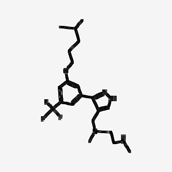 CNCCN(C)Cc1c[nH]nc1-c1cc(OCCCC(C)C)cc(C(F)(F)F)c1